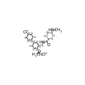 CNC1CCC(C(=O)NCc2cc(-c3ccc(Cl)cc3)ccc2OC)CC1.Cl